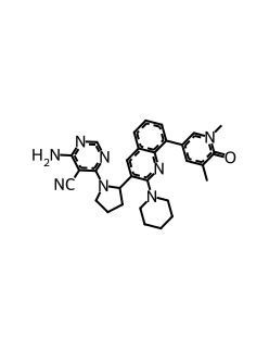 Cc1cc(-c2cccc3cc(C4CCCN4c4ncnc(N)c4C#N)c(N4CCCCC4)nc23)cn(C)c1=O